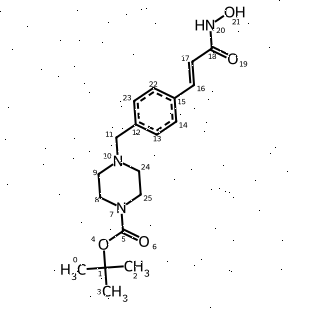 CC(C)(C)OC(=O)N1CCN(Cc2ccc(/C=C/C(=O)NO)cc2)CC1